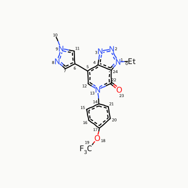 CCn1nnc2c(-c3cnn(C)c3)cn(-c3ccc(OC(F)(F)F)cc3)c(=O)c21